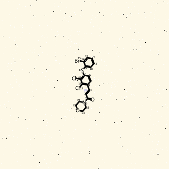 O=C(/C=C/c1ccc(Sc2ccccc2Br)c(Cl)c1Cl)N1CCOCC1